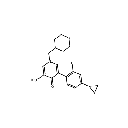 O=C(O)c1cn(CC2CCOCC2)cc(-c2ccc(C3CC3)cc2F)c1=O